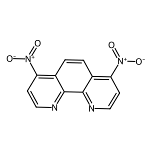 O=[N+]([O-])c1ccnc2c1ccc1c([N+](=O)[O-])ccnc12